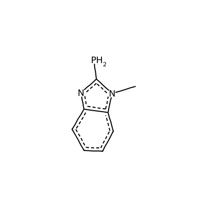 Cn1c(P)nc2ccccc21